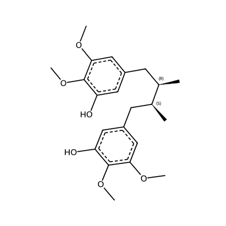 COc1cc(C[C@@H](C)[C@@H](C)Cc2cc(O)c(OC)c(OC)c2)cc(O)c1OC